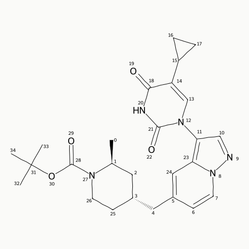 C[C@H]1C[C@H](Cc2ccn3ncc(-n4cc(C5CC5)c(=O)[nH]c4=O)c3c2)CCN1C(=O)OC(C)(C)C